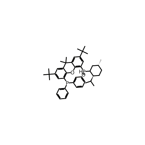 CC(C)[C@@H]1CC[C@@H](C)CC1[PH](=O)c1cc(C(C)(C)C)cc2c1Oc1c(P(c3ccccc3)c3ccccc3)cc(C(C)(C)C)cc1C2(C)C